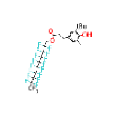 Cc1cc(CCC(=O)OCC(F)(F)C(F)(F)C(F)(F)C(F)(F)C(F)(F)C(F)(F)C(F)(F)C(F)(F)C(F)(F)F)cc(C(C)(C)C)c1O